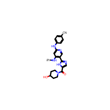 CC(C)Nc1cc(Nc2ccc(C#N)cc2)ncc1-c1ncc(C(=O)N2CCC(O)CC2)[nH]1